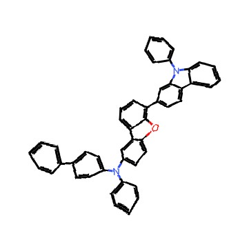 c1ccc(-c2ccc(N(c3ccccc3)c3ccc4oc5c(-c6ccc7c8ccccc8n(-c8ccccc8)c7c6)cccc5c4c3)cc2)cc1